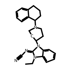 CCn1c(=NC#N)n(C2CCN(C3CCCc4ccccc43)CC2)c2ccccc21